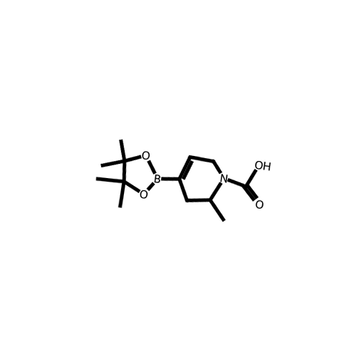 CC1CC(B2OC(C)(C)C(C)(C)O2)=CCN1C(=O)O